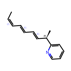 C\C=C/C=C/C=C/[C@@H](C)c1ccccn1